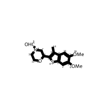 COc1cc2sc(C3CN(C=O)CCO3)c(C)c2cc1OC